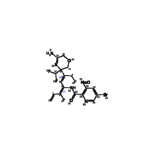 C=C/C(F)=C(\C=C(/CF)C1(C(F)F)COCC(N)=N1)NC(=O)c1ncc(Br)cc1OC